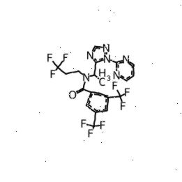 CC(c1ncnn1-c1ncccn1)N(CCC(F)(F)F)C(=O)c1cc(C(F)(F)F)cc(C(F)(F)F)c1